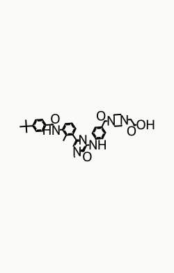 Cc1c(NC(=O)c2ccc(C(C)(C)C)cc2)cccc1-c1cn(C)c(=O)c(Nc2ccc(C(=O)N3CCN(CC(=O)O)CC3)cc2)n1